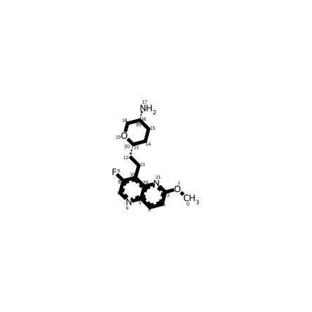 COc1ccc2ncc(F)c(CC[C@H]3CC[C@@H](N)CO3)c2n1